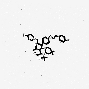 Cc1nc(CN2CCC(F)CC2)c(-c2ccc(OCCc3ccc(F)cc3)cc2)c(N2CCC(C)(C)CC2)c1C(OC(C)(C)C)C(=O)O